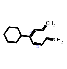 C=C/C=C\C(=C/C=C)C1CCCCC1